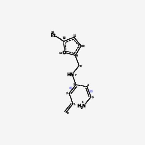 C=C/C=C(\C=C/N)NCc1ccc(CC)o1